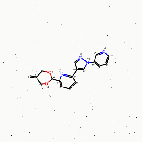 C=C1COC(c2cccc(-c3cnn(-c4cccnc4)c3)n2)OC1